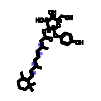 CC1=C(/C=C/C(C)=C/C=C/C(C)=C/C(=O)O[C@H]2[C@H](Oc3ccc(O)cc3)O[C@H](CO)[C@@H](O)[C@@H]2O)C(C)(C)CCC1